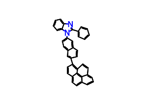 c1ccc(-c2nc3ccccc3n2-c2ccc3cc(-c4ccc5ccc6cccc7ccc4c5c67)ccc3c2)cc1